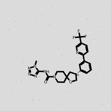 Cn1nnnc1NC(=O)N1CCC2(CC1)C[C@H](c1cccc(-c3ccc(C(F)(F)F)cn3)c1)CO2